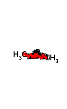 CCCCSC1CCC(c2ccc(CCC3CCC(OCC)CO3)c(C(F)(F)F)c2F)CC1